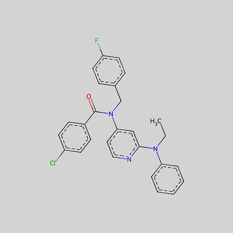 CCN(c1ccccc1)c1cc(N(Cc2ccc(F)cc2)C(=O)c2ccc(Cl)cc2)ccn1